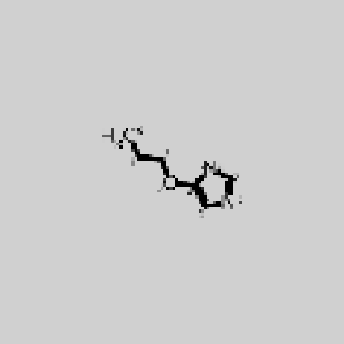 CCCOC1=CN=C[N]1